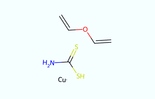 C=COC=C.NC(=S)S.[Cu]